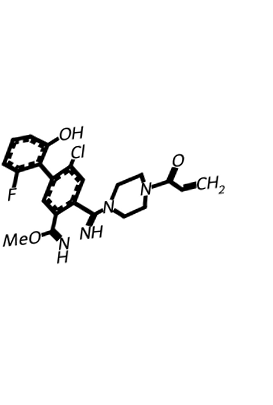 C=CC(=O)N1CCN(C(=N)c2cc(Cl)c(-c3c(O)cccc3F)cc2C(=N)OC)CC1